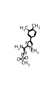 Cc1ccc(-c2cn(C)c(C(N)=NOS(C)(=O)=O)n2)cc1C